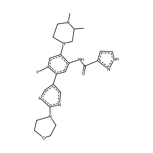 CC1CN(c2cc(F)c(-c3cnc(N4CCOCC4)nc3)cc2NC(=O)c2cc[nH]n2)CCN1C